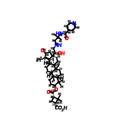 CC(C)C1=C2[C@H]3CC[C@@H]4[C@@]5(C)CC[C@H](OC(=O)[C@H]6C[C@@H](C(=O)O)C6(C)C)C(C)(C)[C@@H]5CC[C@@]4(C)[C@]3(C)CC[C@@]2([C@@H](O)CNCC(C)(C)NC(=O)c2ccncc2)CC1=O